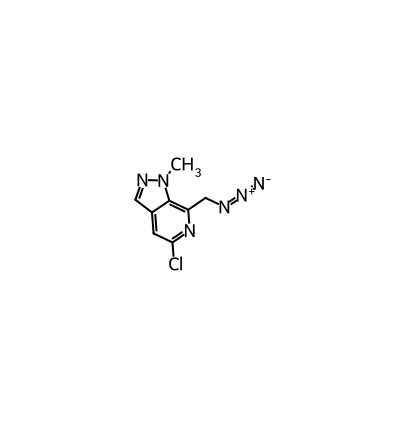 Cn1ncc2cc(Cl)nc(CN=[N+]=[N-])c21